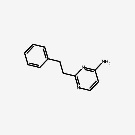 Nc1ccnc(CCc2ccccc2)n1